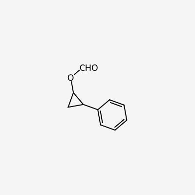 O=COC1CC1c1ccccc1